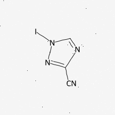 N#Cc1ncn(I)n1